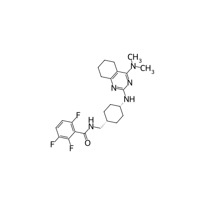 CN(C)c1nc(N[C@H]2CC[C@@H](CNC(=O)c3c(F)ccc(F)c3F)CC2)nc2c1CCCC2